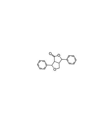 O=C1OC(c2ccccc2)C2COC(c3ccccc3)C12